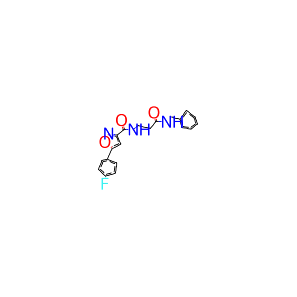 O=C(CCNC(=O)c1cc(-c2ccc(F)cc2)on1)NCc1ccccc1